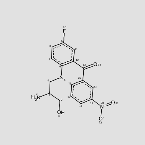 BC(CO)CSc1ccc(F)cc1C(=O)c1cccc([N+](=O)[O-])c1